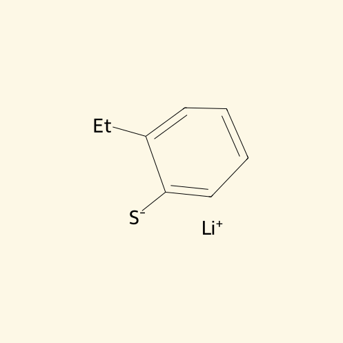 CCc1ccccc1[S-].[Li+]